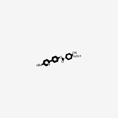 CCCCCCCC[C@]1(C#N)CC[C@H](C(=O)Oc2ccc(-c3ccc(CCCC)cn3)cc2)CC1